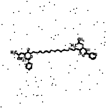 CC(C)CC(NC(=O)c1cccnc1)C(=O)CCSCCCCCCCCCCSCCC(=O)C(CC(C)C)NC(=O)c1cccnc1